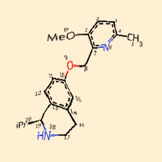 COc1ccc(C)nc1COc1ccc2c(c1)CCN[C@H]2C(C)C